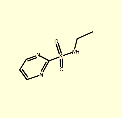 CCNS(=O)(=O)c1ncccn1